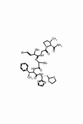 CC(C)/C=C/C(/C(=N/C(C(=O)NC(C(=O)N[C@H](CC1SCCS1)c1nccs1)[C@@H](C)c1ccccc1)C(C)(C)C)NCC(=O)N1CC[C@@H](C)[C@H]1C(N)=O)C(C)(C)C